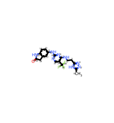 Cc1nnc(CCNc2nc(Nc3ccc4c(c3)CC(=O)N4)ncc2C(F)(F)F)[nH]1